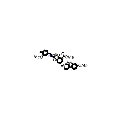 COC(=O)[C@H]1C[C@@H](CN2CCc3c([nH]c4cc(OC)ccc34)C2)C[C@@H](OC(=O)/C=C/c2ccc(C)c(OC)c2)[C@@H]1OC